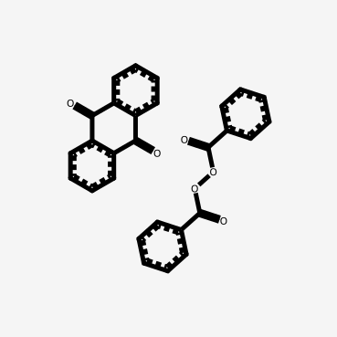 O=C(OOC(=O)c1ccccc1)c1ccccc1.O=C1c2ccccc2C(=O)c2ccccc21